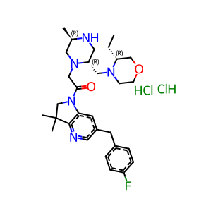 CC[C@@H]1COCCN1C[C@H]1CN[C@H](C)CN1CC(=O)N1CC(C)(C)c2ncc(Cc3ccc(F)cc3)cc21.Cl.Cl